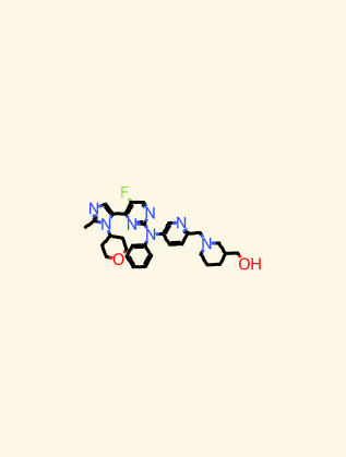 Cc1ncc(-c2nc(N(c3ccccc3)c3ccc(CN4CCCC(CO)C4)nc3)ncc2F)n1C1CCOCC1